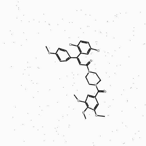 COc1ccc(C(=CC(=O)N2CCN(C(=O)c3cc(OC)c(OC)c(OC)c3)CC2)c2cc(Cl)ccc2Cl)cc1